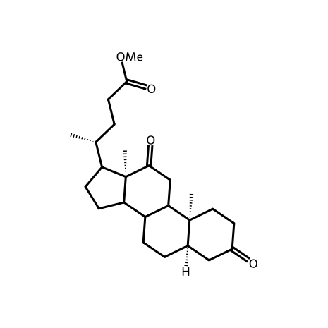 COC(=O)CC[C@@H](C)C1CCC2C3CC[C@@H]4CC(=O)CC[C@]4(C)C3CC(=O)[C@@]21C